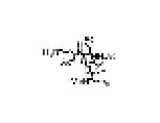 CNC(CCC(C)=O)C(=O)NC(CCC(C)=O)C(=O)NC(CCC(C)=O)C(=O)NC(CCCN)CC(C)=O